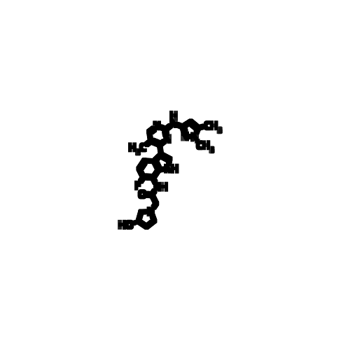 Cc1cnc(Nc2cc(C)n(C)n2)nc1-c1c[nH]c2c(NC(=O)CN3CC[C@@H](O)C3)c(F)ccc12